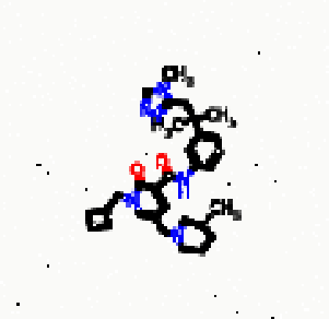 C[C@H]1CCCN(Cc2cc(C(=O)Nc3cccc(C(C)(C)Cc4nncn4C)c3)c(=O)n(CC3CCC3)c2)C1